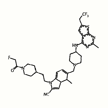 Cc1nc(NC2CCN(CC3=CC=C4C(C=C(C#N)N4CCC4CCN(C(=O)CF)CC4)C3C)CC2)c2cc(CC(F)(F)F)sc2n1